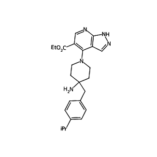 CCOC(=O)c1cnc2[nH]ncc2c1N1CCC(N)(Cc2ccc(C(C)C)cc2)CC1